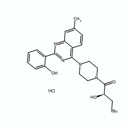 Cc1ccc2c(N3CCN(C(=O)[C@H](O)CC(C)(C)C)CC3)nc(-c3ccccc3O)nc2c1.Cl